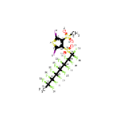 CS(=O)(=O)c1c(I)sc(I)c1S(=O)(=O)C(F)(F)C(F)(F)C(F)(F)C(F)(F)C(F)(F)C(F)(F)C(F)(F)C(F)(F)F